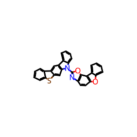 c1ccc2c(c1)oc1ccc3nc(-n4c5ccccc5c5cc6c(cc54)sc4ccccc46)oc3c12